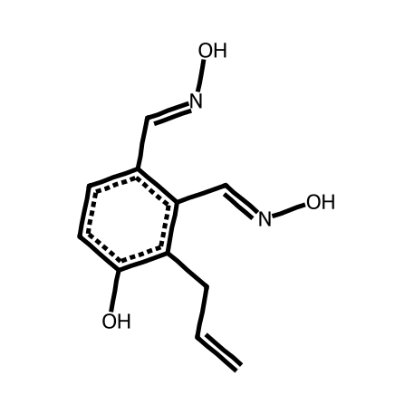 C=CCc1c(O)ccc(C=NO)c1C=NO